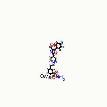 COc1ccc(CCN2CCC(c3nc(CO)c(-c4ccc(F)cc4)o3)CC2)cc1S(N)(=O)=O